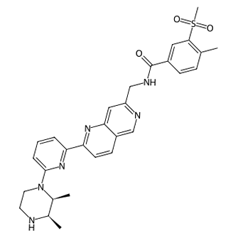 Cc1ccc(C(=O)NCc2cc3nc(-c4cccc(N5CCN[C@H](C)[C@@H]5C)n4)ccc3cn2)cc1S(C)(=O)=O